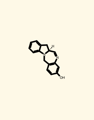 Oc1ccc2c(c1)N=C[C@@H]1Cc3ccccc3N1C2